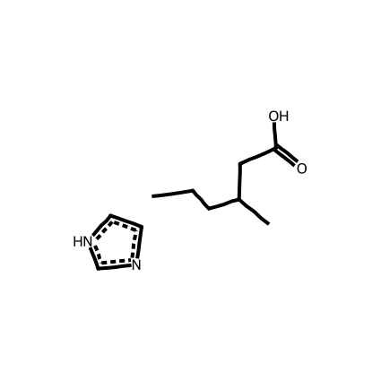 CCCC(C)CC(=O)O.c1c[nH]cn1